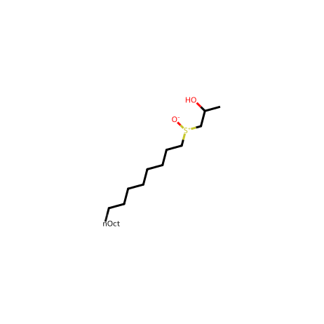 CCCCCCCCCCCCCCCC[S+]([O-])CC(C)O